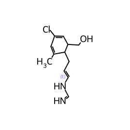 CC1=CC(Cl)=CC(CO)C1C/C=C/NC=N